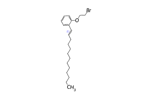 CCCCCCCCCCC/C=C/c1ccccc1OCCBr